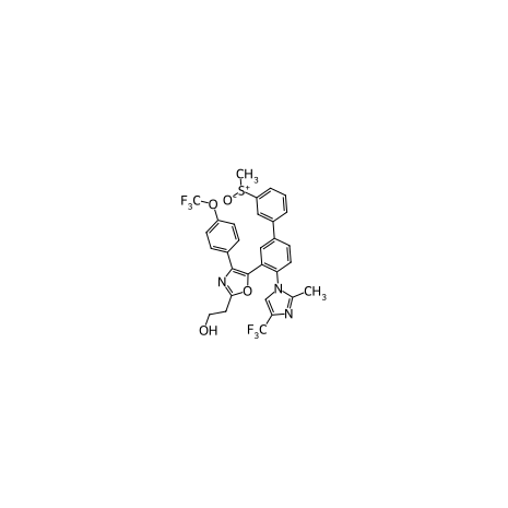 Cc1nc(C(F)(F)F)cn1-c1ccc(-c2cccc([S+](C)[O-])c2)cc1-c1oc(CCO)nc1-c1ccc(OC(F)(F)F)cc1